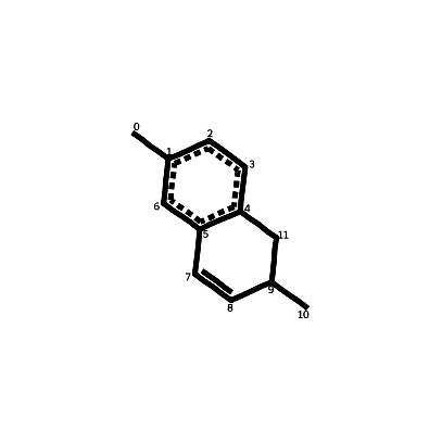 Cc1ccc2c(c1)C=CC(C)C2